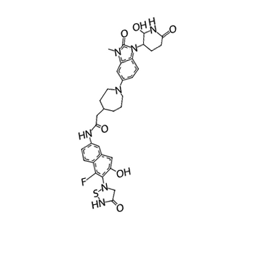 Cn1c(=O)n(C2CCC(=O)NC2O)c2ccc(N3CCCC(CC(=O)Nc4ccc5c(F)c(N6CC(=O)NS6)c(O)cc5c4)CC3)cc21